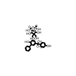 CC(C)(c1ccc(O)cc1)c1ccc(O)c(-c2ccccc2)c1.O=P(O)(O)OP(=O)(O)O.OCC(CO)(CO)CO